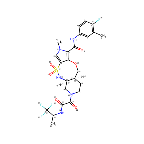 Cc1cc(NC(=O)c2c3c(cn2C)S(=O)(=O)N[C@@H]2CN(C(=O)C(=O)NC(C)C(F)(F)F)CC[C@@H]2CO3)ccc1F